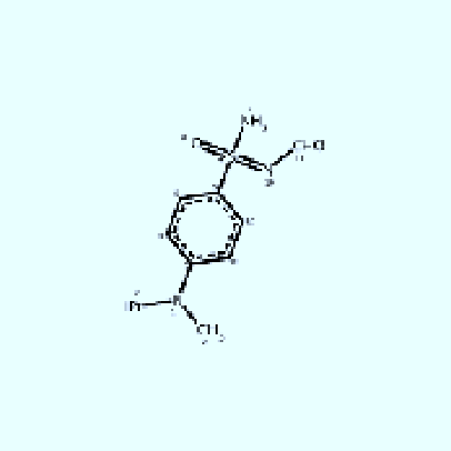 CC(C)N(C)c1ccc(S(N)(=O)=NC=O)cc1